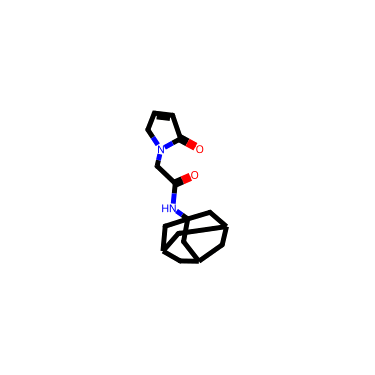 O=C(CN1CC=CC1=O)NC12CC3CC(CC(C3)C1)C2